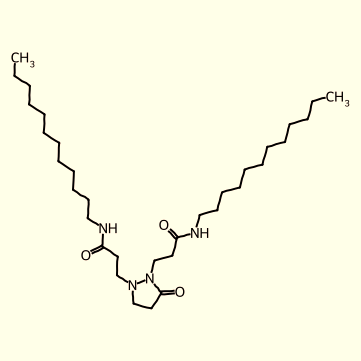 CCCCCCCCCCCCNC(=O)CCN1CCC(=O)N1CCC(=O)NCCCCCCCCCCCC